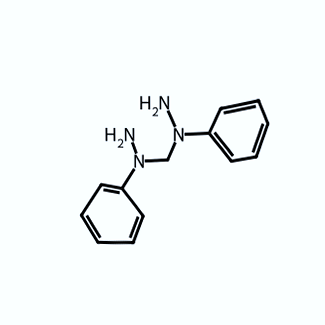 NN(CN(N)c1ccccc1)c1ccccc1